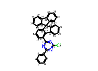 Clc1nc(-c2ccccc2)nc(-c2cccc3c2-c2ccccc2C32c3ccccc3-c3ccccc32)n1